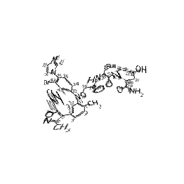 Cc1ccc(-c2c(C)noc2C)cc1N(OCC(=O)N[C@H](C(=O)N1C[C@H](O)C[C@H]1C(N)=O)C(C)(C)C)c1ccc(-n2ccnc2)c(Br)c1